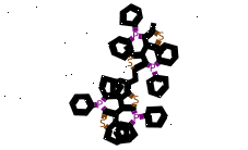 Cc1sc(C)c(P(c2ccccc2)c2ccccc2)c1-c1c(C)sc(Cc2cccc3c(-c4c(P(c5ccccc5)c5ccccc5)sc5ccccc45)c(P(c4ccccc4)c4ccccc4)sc23)c1P(c1ccccc1)c1ccccc1